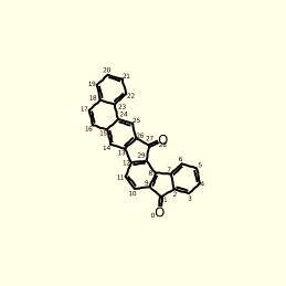 O=c1c2ccccc2c2c1ccc1c3cc4ccc5ccccc5c4cc3c(=O)c12